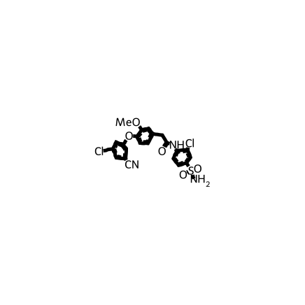 COc1cc(CC(=O)Nc2ccc(S(N)(=O)=O)cc2Cl)ccc1Oc1cc(Cl)cc(C#N)c1